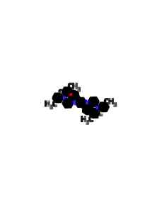 Cc1ccc(N(c2cc(C)ccc2C)c2cccc3c2c2cccc4c5cc6c(cc5n3c42)c2cccc3c4c(N(c5ccc(C)cc5)c5cc(C)ccc5C)cccc4n6c23)cc1